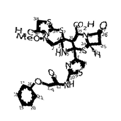 CON=CC(=O)NC1(c2csc(NC(=O)COc3ccccc3)n2)S[C@H]2CC(=O)N2C(C(=O)O)=C1CSc1nc(C)cs1